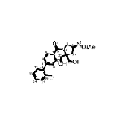 CO/N=C1/CN(C(=O)c2ccc(-c3ccccc3C)cc2)C(CO)(CO)C1